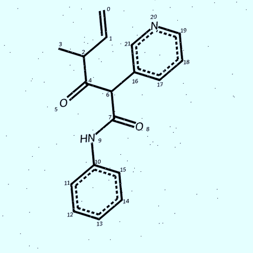 C=CC(C)C(=O)C(C(=O)Nc1ccccc1)c1cccnc1